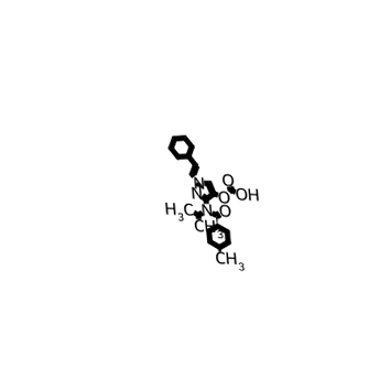 CC(C)N(c1nn(/C=C/C2CCCCC2)cc1OC(=O)O)C(=O)[C@H]1CC[C@H](C)CC1